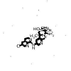 CC1(C)C(N)=N[C@](C)(c2cc(Nc3nccc4cc(Cl)cnc34)cnc2F)CS1(O)O